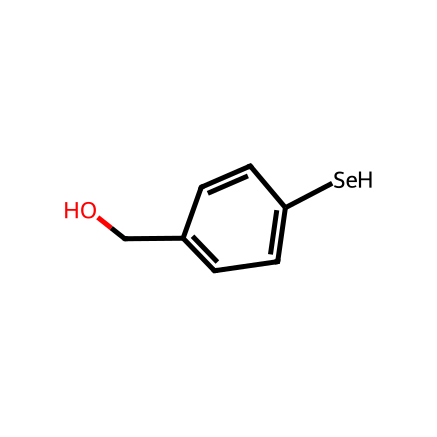 OCc1ccc([SeH])cc1